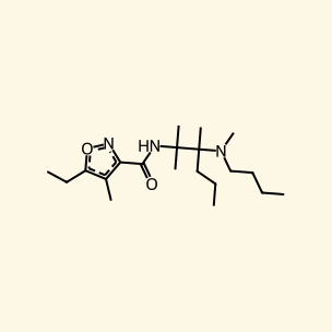 CCCCN(C)C(C)(CCC)C(C)(C)NC(=O)c1noc(CC)c1C